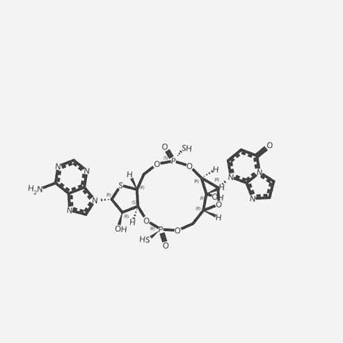 Nc1ncnc2c1ncn2[C@@H]1S[C@@H]2CO[P@](=O)(S)O[C@@H]3[C@H](O)[C@@H](CO[P@@](=O)(S)O[C@H]2[C@H]1O)O[C@H]3n1ccc(=O)n2ccnc12